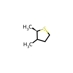 CC1CCS[C@@H]1C